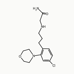 NC(=O)CNCCCc1ccc(Cl)cc1N1CCOCC1